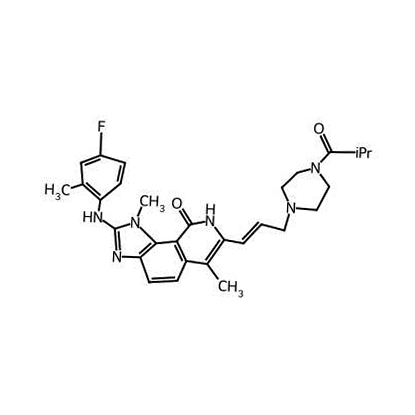 Cc1cc(F)ccc1Nc1nc2ccc3c(C)c(C=CCN4CCN(C(=O)C(C)C)CC4)[nH]c(=O)c3c2n1C